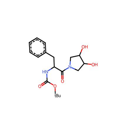 CC(C)(C)OC(=O)NC(Cc1ccccc1)C(=O)N1CC(O)C(O)C1